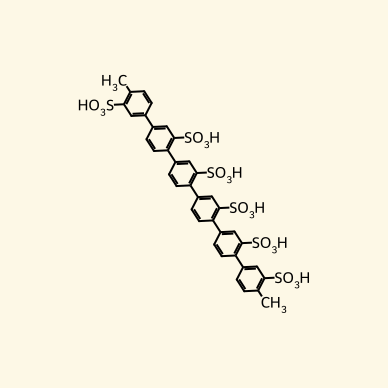 Cc1ccc(-c2ccc(-c3ccc(-c4ccc(-c5ccc(-c6ccc(C)c(S(=O)(=O)O)c6)c(S(=O)(=O)O)c5)c(S(=O)(=O)O)c4)c(S(=O)(=O)O)c3)c(S(=O)(=O)O)c2)cc1S(=O)(=O)O